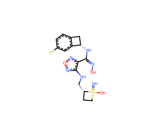 N=[SH]1(O)CC[C@@H]1CNc1nonc1/C(=N\O)N[C@H]1Cc2ccc(F)cc21